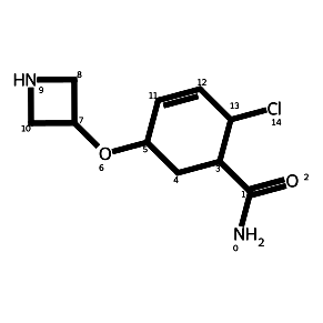 NC(=O)C1CC(OC2CNC2)C=CC1Cl